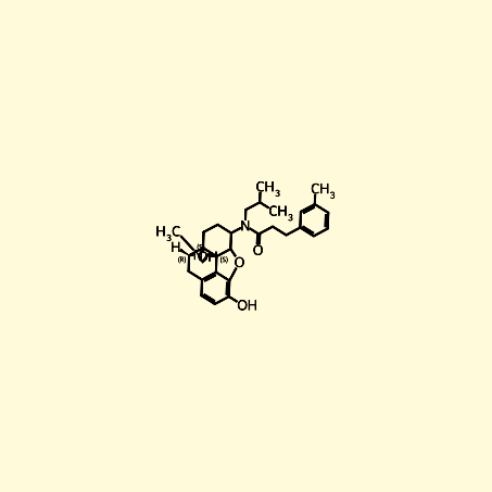 Cc1cccc(CCC(=O)N(CC(C)C)C2CC[C@@]3(O)[C@H]4Cc5ccc(O)c6c5[C@@]3(CCN4C)C2O6)c1